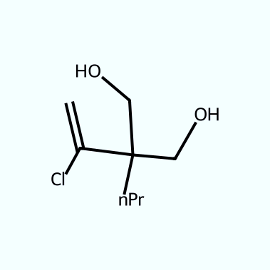 C=C(Cl)C(CO)(CO)CCC